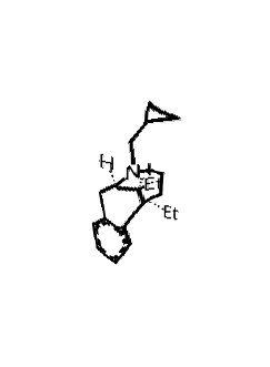 CC[C@@H]1[C@H]2Cc3ccccc3[C@]1(CC)CCN2CC1CC1